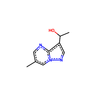 Cc1cnc2c(C(C)O)cnn2c1